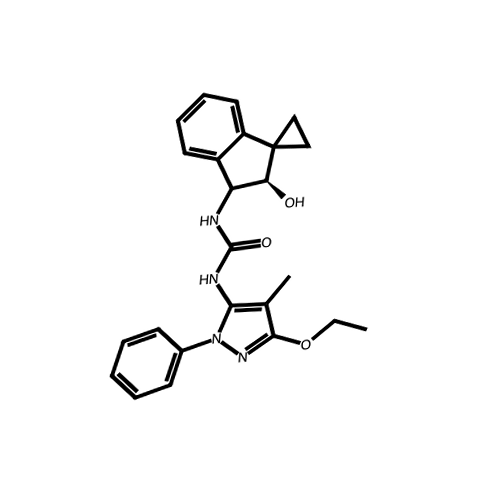 CCOc1nn(-c2ccccc2)c(NC(=O)NC2c3ccccc3C3(CC3)[C@H]2O)c1C